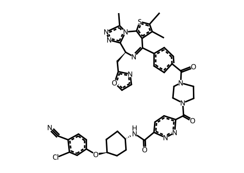 Cc1sc2c(c1C)C(c1ccc(C(=O)N3CCN(C(=O)c4ccc(C(=O)N[C@H]5CC[C@H](Oc6ccc(C#N)c(Cl)c6)CC5)nn4)CC3)cc1)=N[C@@H](Cc1ncco1)c1nnc(C)n1-2